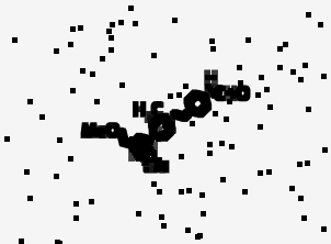 COCCc1cc(N2CCN(CCC3CCC(NC=O)CC3)C(C)C2)nc(C(C)(C)C)n1